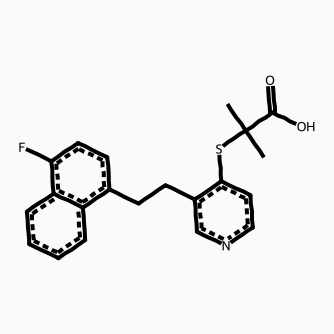 CC(C)(Sc1ccncc1CCc1ccc(F)c2ccccc12)C(=O)O